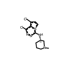 CN1CCC[C@@H](Nc2nnc(Cl)c3c(Cl)ccn23)C1